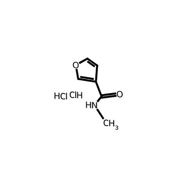 CNC(=O)c1ccoc1.Cl.Cl